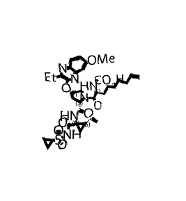 C=CCCCCC[C@H](NC(=O)O)C(=O)N1C[C@H](Oc2nc3cc(OC)ccc3nc2CC)C[C@H]1C(=O)N[C@]1(C(=O)NS(=O)(=O)C2CC2)C[C@H]1C=C